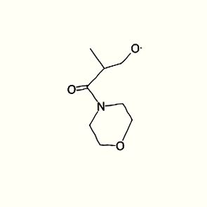 CC(C[O])C(=O)N1CCOCC1